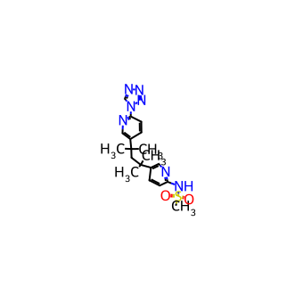 CC(C)(CC(C)(C)c1ccc(-n2cnnn2)nc1)c1ccc(NS(C)(=O)=O)nc1